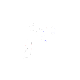 O=c1c2c[nH]nc2c2cnc(NCC3COc4ccccc4O3)nc2n1-c1ccccc1F